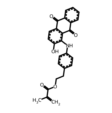 C=C(C)C(=O)OCCc1ccc(Nc2c(O)ccc3c2C(=O)c2ccccc2C3=O)cc1